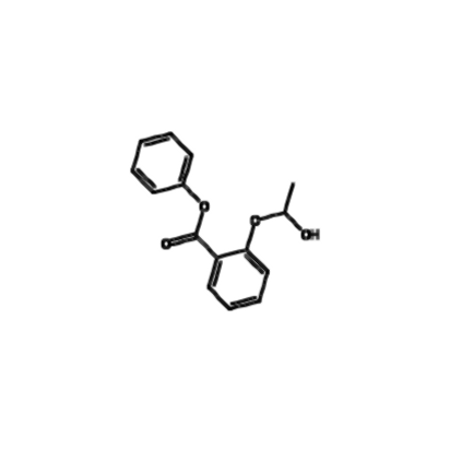 CC(O)Oc1ccccc1C(=O)Oc1ccccc1